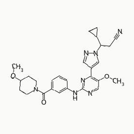 COc1cnc(Nc2cccc(C(=O)N3CCC(OC)CC3)c2)nc1-c1cnn(C(CC#N)C2CC2)c1